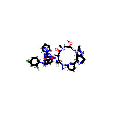 CO[C@H]1CN(C)C(=O)[C@@H]2C[C@@H](CN2c2nc(N3C4CC3CN(c3ncccn3)C4)nc3c2cnn3-c2ccc(F)cc2F)Nc2cccc(n2)-c2nccc3nc(C)n(c23)C1